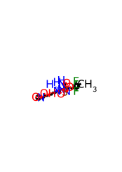 Cc1cc(F)c(COc2nsc(NC(=O)NCCCCCC(O)CN3CCOCC3)c2C(N)=O)cc1F